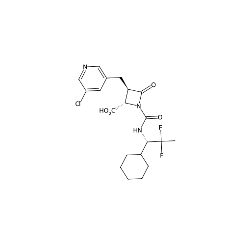 CC(F)(F)[C@@H](NC(=O)N1C(=O)[C@H](Cc2cncc(Cl)c2)[C@H]1C(=O)O)C1CCCCC1